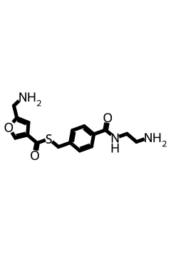 NCCNC(=O)c1ccc(CSC(=O)c2coc(CN)c2)cc1